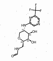 O=CNC[C@H]1OC[C@H](Nc2cncc(C(F)(F)F)n2)[C@@H](O)[C@H]1O